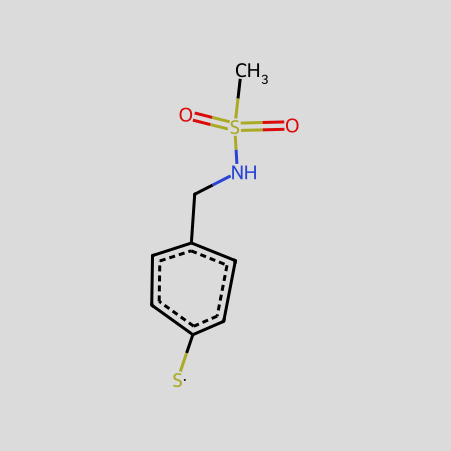 CS(=O)(=O)NCc1ccc([S])cc1